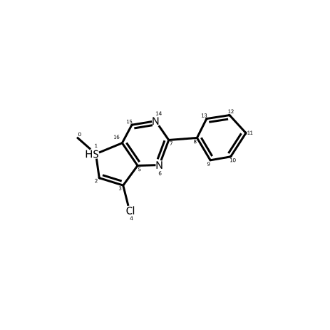 C[SH]1C=C(Cl)c2nc(-c3ccccc3)ncc21